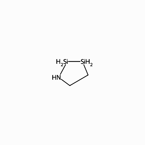 C1C[SiH2][SiH2]N1